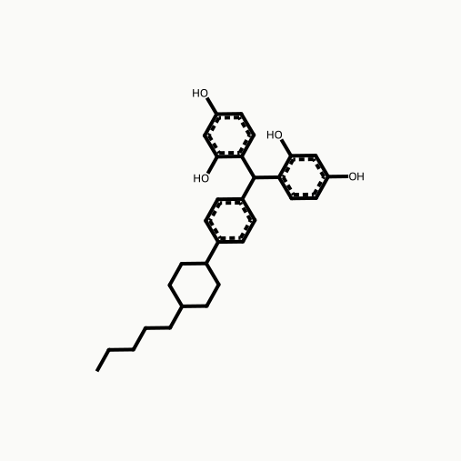 CCCCCC1CCC(c2ccc(C(c3ccc(O)cc3O)c3ccc(O)cc3O)cc2)CC1